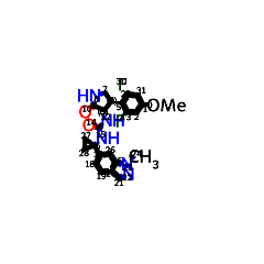 COc1cc(F)c([C@@H]2CNC(=O)[C@H]2NC(=O)NC2(c3ccc4cnn(C)c4c3)CC2)c(F)c1